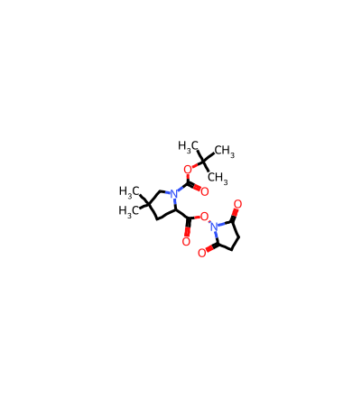 CC1(C)CC(C(=O)ON2C(=O)CCC2=O)N(C(=O)OC(C)(C)C)C1